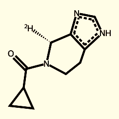 [2H][C@@H]1c2nc[nH]c2CCN1C(=O)C1CC1